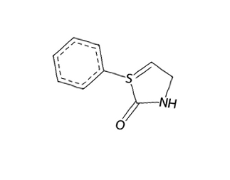 O=C1NCC=S1c1ccccc1